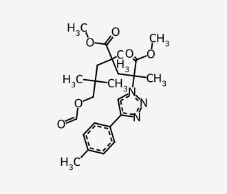 COC(=O)C(C)(CC(C)(C)COC=O)CC(C)(C(=O)OC)n1cc(-c2ccc(C)cc2)nn1